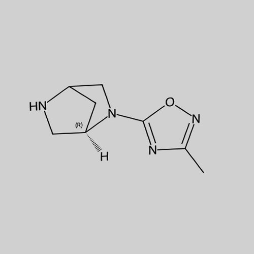 Cc1noc(N2CC3C[C@@H]2CN3)n1